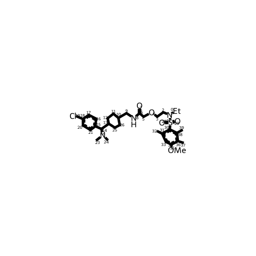 CCN(CCOCC(=O)NCC1CCC(C(c2ccc(Cl)cc2)N(C)C)CC1)S(=O)(=O)c1c(C)cc(OC)c(C)c1C